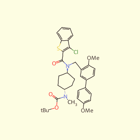 COc1ccc(-c2ccc(OC)c(CN(C(=O)c3sc4ccccc4c3Cl)[C@H]3CC[C@H](N(C)C(=O)OC(C)(C)C)CC3)c2)cc1